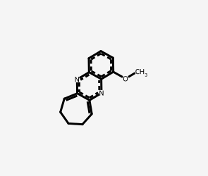 COc1cccc2nc3c(nc12)=CCCCC=3